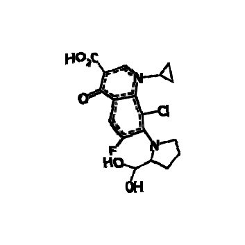 O=C(O)c1cn(C2CC2)c2c(Cl)c(N3CCCC3C(O)O)c(F)cc2c1=O